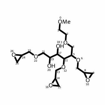 COCCOCC(OCC1CO1)C(OCC1CO1)C(O)C(O)COCC1CO1